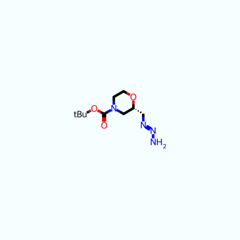 CC(C)(C)OC(=O)N1CCO[C@H](CN=NN)C1